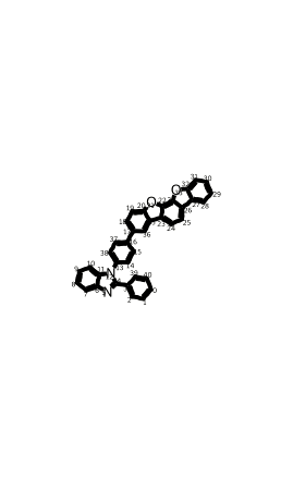 c1ccc(-c2nc3ccccc3n2-c2ccc(-c3ccc4oc5c(ccc6c7ccccc7oc65)c4c3)cc2)cc1